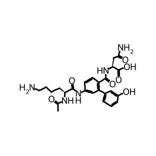 CC(=O)N[C@@H](CCCCN)C(=O)Nc1ccc(C(=O)N[C@@H](CC(N)=O)C(=O)O)c(-c2cccc(O)c2)c1